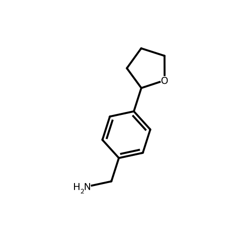 NCc1ccc(C2CCCO2)cc1